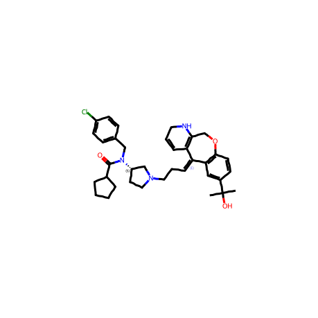 CC(C)(O)c1ccc2c(c1)/C(=C/CCN1CC[C@H](N(Cc3ccc(Cl)cc3)C(=O)C3CCCC3)C1)C1=C(CO2)NCC=C1